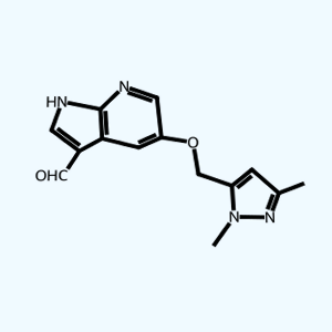 Cc1cc(COc2cnc3[nH]cc(C=O)c3c2)n(C)n1